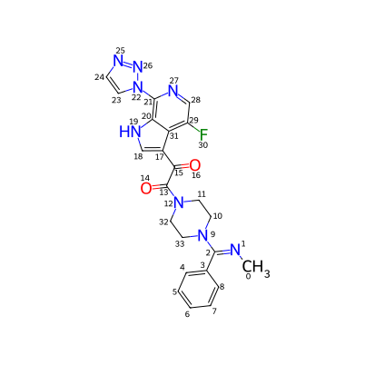 CN=C(c1ccccc1)N1CCN(C(=O)C(=O)c2c[nH]c3c(-n4ccnn4)ncc(F)c23)CC1